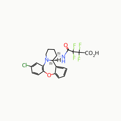 O=C(O)C(F)(F)C(F)(F)C(=O)N[C@H]1CCCN2c3cc(Cl)ccc3Oc3ccccc3[C@@H]12